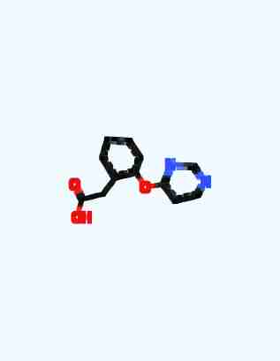 O=C(O)Cc1ccccc1Oc1ccncn1